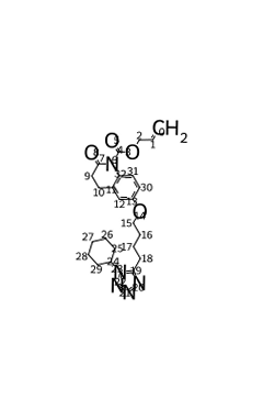 C=CCOC(=O)N1C(=O)CCc2cc(OCCCCc3nnnn3C3CCCCC3)ccc21